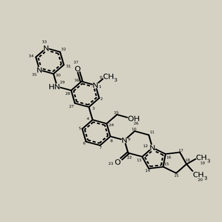 Cn1cc(-c2cccc(N3CCn4c(cc5c4CC(C)(C)C5)C3=O)c2CO)cc(Nc2ccncn2)c1=O